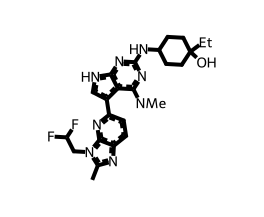 CCC1(O)CCC(Nc2nc(NC)c3c(-c4ccc5nc(C)n(CC(F)F)c5n4)c[nH]c3n2)CC1